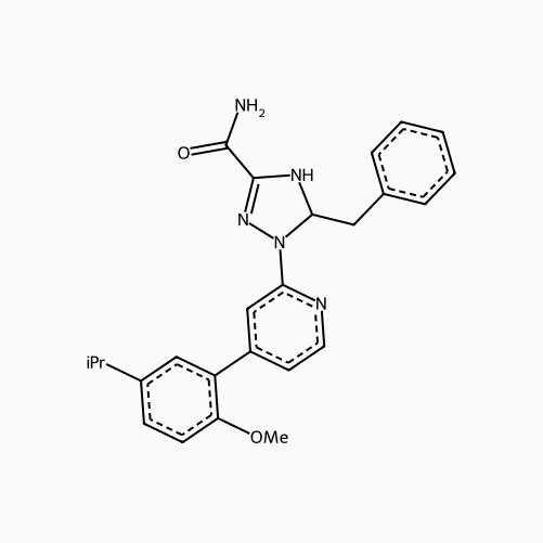 COc1ccc(C(C)C)cc1-c1ccnc(N2N=C(C(N)=O)NC2Cc2ccccc2)c1